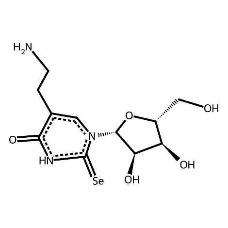 NCCc1cn([C@@H]2O[C@H](CO)[C@@H](O)[C@H]2O)c(=[Se])[nH]c1=O